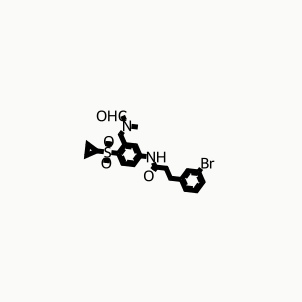 CN(C=O)Cc1cc(NC(=O)CCc2cccc(Br)c2)ccc1S(=O)(=O)C1CC1